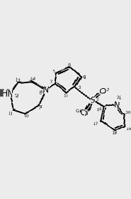 O=S(=O)(c1cccc(N2CCCNCC2)c1)c1ccccn1